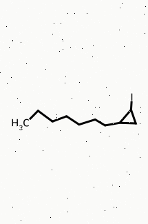 CCCCCCCC1CC1I